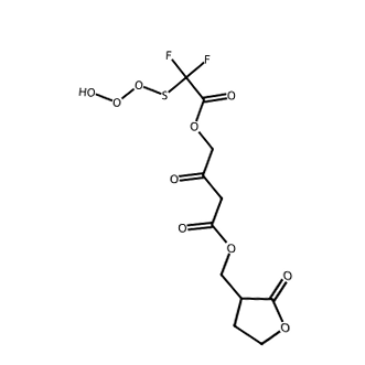 O=C(COC(=O)C(F)(F)SOOO)CC(=O)OCC1CCOC1=O